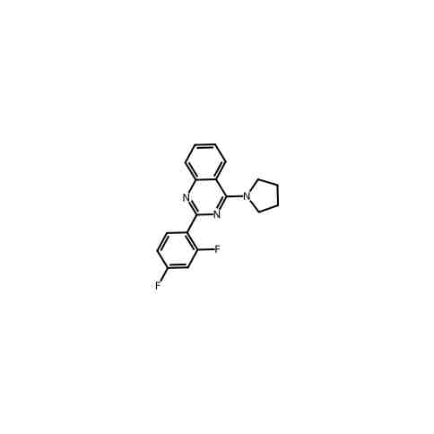 Fc1ccc(-c2nc(N3CCCC3)c3ccccc3n2)c(F)c1